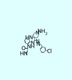 N=CC(=O)Nc1cccc2c1N=C(N=NCc1cccc(Cl)c1)C1(CCN(N)CC1)N2